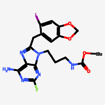 CC(C)(C)OC(=O)NCCCn1c(Cc2cc3c(cc2I)OCO3)nc2c(N)nc(F)nc21